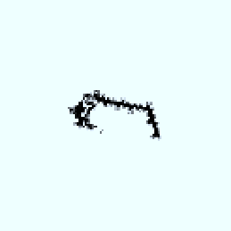 CCCCNc1nc(N)nc(C)c1Cc1ccc(CN2CCN(C(=O)CC/C(C)=C/CC/C(C)=C/CC/C(C)=C/CC/C=C(\C)CC/C=C(\C)CCC=C(C)C)CC2)cc1OC